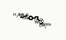 CNC(=O)[C@H](C)NC(=O)c1ccc(-c2ccc(NC(=O)c3ccn(C)n3)cc2)o1